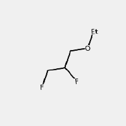 [CH2]COCC(F)CF